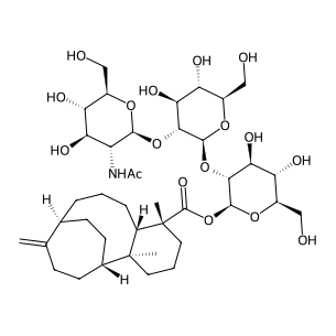 C=C1CC[C@@H]2CC[C@@H]1CCC[C@H]1[C@@]2(C)CCC[C@@]1(C)C(=O)O[C@@H]1O[C@H](CO)[C@@H](O)[C@H](O)[C@H]1O[C@@H]1O[C@H](CO)[C@@H](O)[C@H](O)[C@H]1O[C@@H]1O[C@H](CO)[C@@H](O)[C@H](O)[C@H]1NC(C)=O